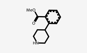 COC(=O)c1ccccc1C1CCNCC1